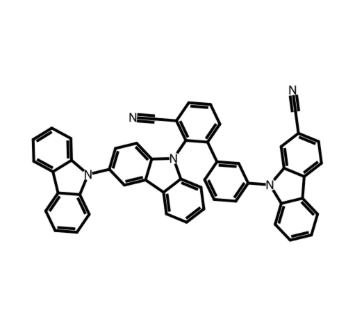 N#Cc1ccc2c3ccccc3n(-c3cccc(-c4cccc(C#N)c4-n4c5ccccc5c5cc(-n6c7ccccc7c7ccccc76)ccc54)c3)c2c1